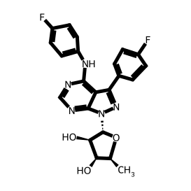 C[C@@H]1O[C@@H](n2nc(-c3ccc(F)cc3)c3c(Nc4ccc(F)cc4)ncnc32)[C@H](O)[C@@H]1O